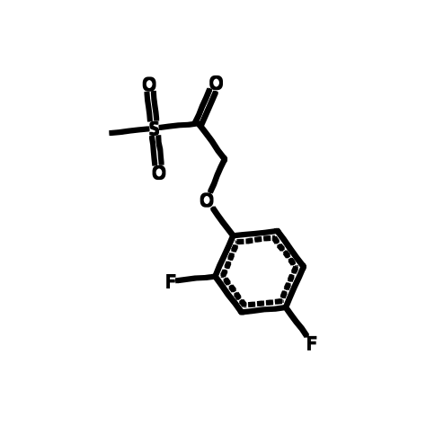 CS(=O)(=O)C(=O)COc1ccc(F)cc1F